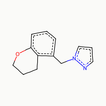 c1cc(Cn2cccn2)c2c(c1)OCCC2